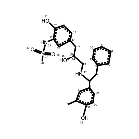 Cc1cc(C(Cc2ccccc2)NC[C@@H](O)Cc2ccc(O)c(NS(C)(=O)=O)c2)ccc1O